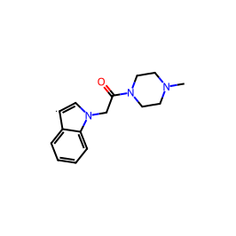 CN1CCN(C(=O)Cn2c[c]c3ccccc32)CC1